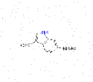 CC(=O)Nc1ccc2c(C=O)c[nH]c2c1